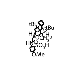 COc1ccc(NC(=O)CC(CCCC(=O)C(C)(C)C)OC(C)(C)C(C)C(=O)C(OC(C)(C)C)c2ccccc2)c(S(=O)(=O)O)c1